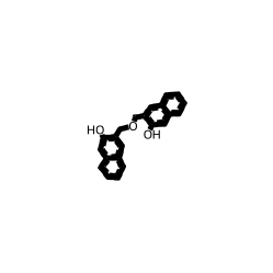 Oc1cc2ccccc2cc1COCc1cc2ccccc2cc1O